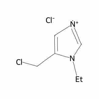 CCN1C=[N+]C=C1CCl.[Cl-]